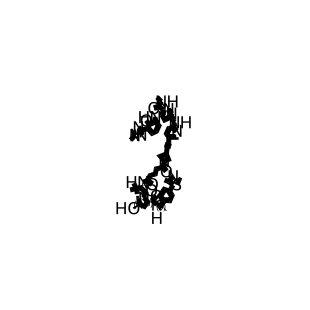 CNC(=O)c1nnc(Nc2ccc(C#CC3CN(C(=O)CCCC(=O)N[C@H](C(=O)N4C[C@H](O)C[C@H]4C(=O)N[C@@H](C)c4ccc(-c5scnc5C)cc4)C(C)(C)C)C3)cn2)cc1Nc1cccc(-c2ncn(C)n2)c1OC